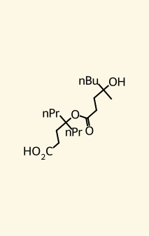 CCCCC(C)(O)CCC(=O)OC(CCC)(CCC)CCC(=O)O